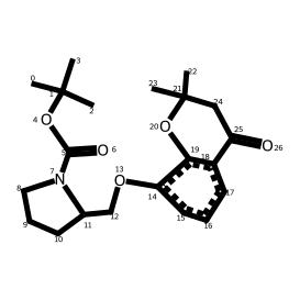 CC(C)(C)OC(=O)N1CCCC1COc1cccc2c1OC(C)(C)CC2=O